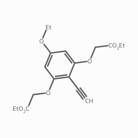 C#Cc1c(OCC(=O)OCC)cc(OCC)cc1OCC(=O)OCC